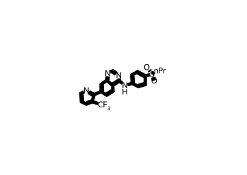 CCCS(=O)(=O)c1ccc(Nc2ncnc3cc(-c4ncccc4C(F)(F)F)ccc23)cc1